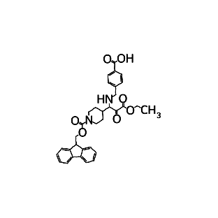 CCOC(=O)C(=O)C(NCc1ccc(C(=O)O)cc1)C1CCN(C(=O)OCC2c3ccccc3-c3ccccc32)CC1